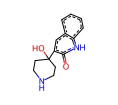 O=c1[nH]c2ccccc2cc1C1(O)CCNCC1